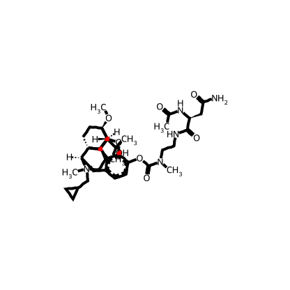 CO[C@]12CC[C@@]3(C[C@@H]1C(C)(C)O)[C@H]1Cc4ccc(OC(=O)N(C)CCNC(=O)[C@H](CC(N)=O)NC(C)=O)c5c4[C@@]3(CC[N+]1(C)CC1CC1)[C@H]2O5